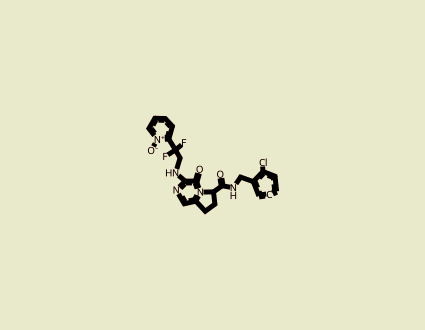 O=C(NCc1ccccc1Cl)C1CCc2cnc(NCC(F)(F)c3cccc[n+]3[O-])c(=O)n21